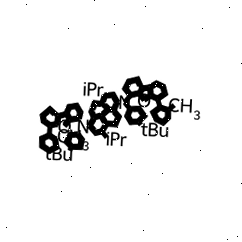 Cc1ccccc1-c1cccc2c1oc1c(N(c3ccc(C(C)(C)C)cc3)c3cc(C(C)C)c4ccc5c(N(c6ccc(C(C)(C)C)cc6)c6cccc7c6oc6c(-c8ccccc8C)cccc67)cc(C(C)C)c6ccc3c4c65)cccc12